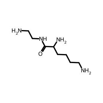 NCCCCC(N)C(=O)NCCN